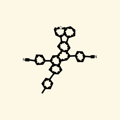 Cc1ccc(-c2ccc3c(c2)c(-c2ccc(C#N)cc2)cc2c4cc5c(cc4c(-c4ccc(C#N)cc4)cc32)-c2cccc3cccc-5c23)cc1